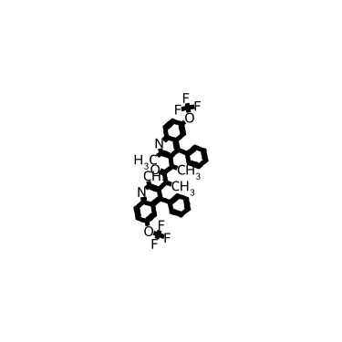 Cc1nc2ccc(OC(F)(F)F)cc2c(-c2ccccc2)c1C(C)C(=O)C(C)c1c(C)nc2ccc(OC(F)(F)F)cc2c1-c1ccccc1